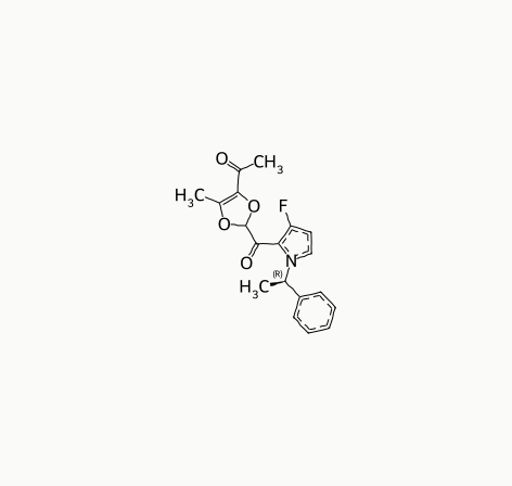 CC(=O)C1=C(C)OC(C(=O)c2c(F)ccn2[C@H](C)c2ccccc2)O1